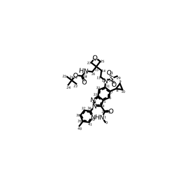 CNC(=O)c1c2cc(C3CC3)c(N(CCC3(CNC(=O)OC(C)(C)C)COC3)S(C)(=O)=O)cc2nn1-c1ccc(C)cn1